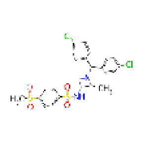 CC1C(NS(=O)(=O)c2ccc(S(C)(=O)=O)cc2)CN1C(c1ccc(Cl)cc1)c1ccc(Cl)cc1